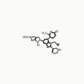 CCc1ccc(-c2cc(N3CC4=C(CN(C=O)C4)N3CC)cc3cc(C4=CCCNC4)n(CC4CC4)c23)c(C)n1